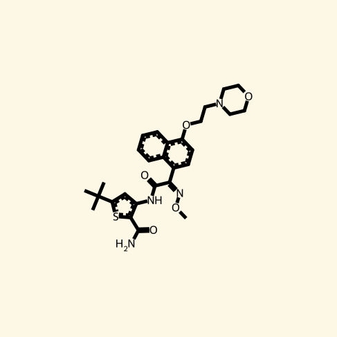 CO/N=C(\C(=O)Nc1cc(C(C)(C)C)sc1C(N)=O)c1ccc(OCCN2CCOCC2)c2ccccc12